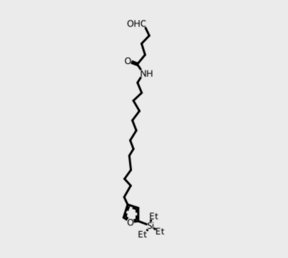 CC[Si](CC)(CC)c1cc(CCCCCCCCCCCCCNC(=O)CCCC=O)co1